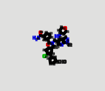 CCc1nc2c(cnn2CC)c(NC2CCOCC2)c1CN(Cc1ccc(Cl)c(-c2cccc(C=O)c2)c1)C(=O)c1cccc(C(N)=O)c1